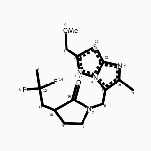 COCc1nn2c(CN3CCC(CC(C)(F)F)C3=O)c(C)nc2s1